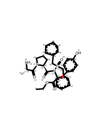 CCOC(=O)[C@H](Cc1ccc(O)cc1)N(C(=O)[C@@H]1CCCN1C(=O)[C@H](C)N)P(=O)(Cc1ccccc1)Cc1ccccc1